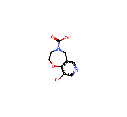 O=C(O)N1CCOc2c(Br)cncc2C1